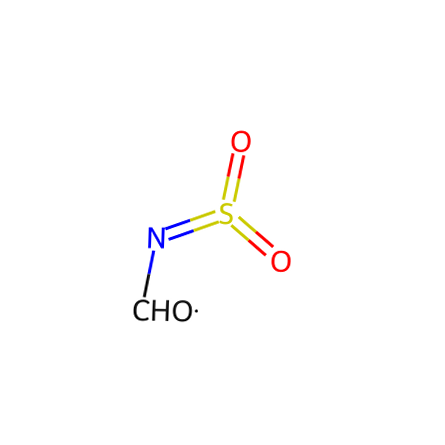 O=[C]N=S(=O)=O